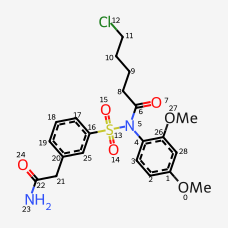 COc1ccc(N(C(=O)CCCCCl)S(=O)(=O)c2cccc(CC(N)=O)c2)c(OC)c1